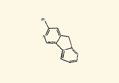 CC(C)c1cc2c(cn1)-c1ccccc1C2